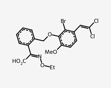 CCON=C(C(=O)O)c1ccccc1COc1c(OC)ccc(C=C(Cl)Cl)c1Br